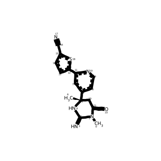 CN1C(=N)N[C@](C)(c2ccnc(-c3ccc(C#N)s3)c2)CC1=O